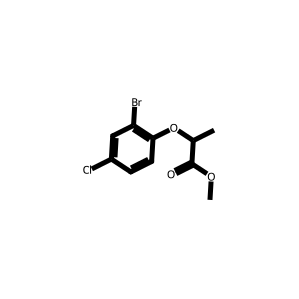 COC(=O)C(C)Oc1ccc(Cl)cc1Br